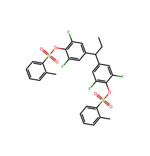 CCC(c1cc(F)c(OS(=O)(=O)c2ccccc2C)c(F)c1)c1cc(F)c(OS(=O)(=O)c2ccccc2C)c(F)c1